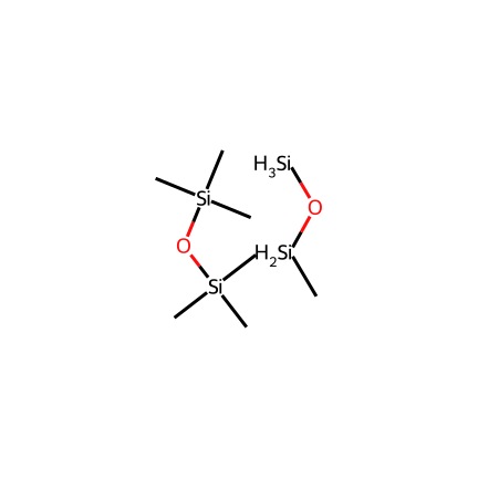 C[SiH2]O[SiH3].C[Si](C)(C)O[Si](C)(C)C